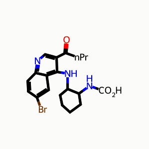 CCCC(=O)c1cnc2ccc(Br)cc2c1NC1CCCCC1NC(=O)O